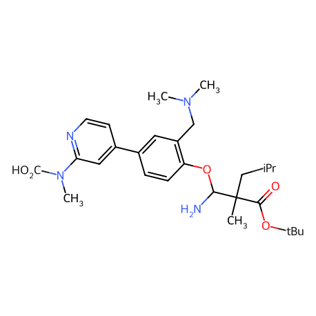 CC(C)CC(C)(C(=O)OC(C)(C)C)C(N)Oc1ccc(-c2ccnc(N(C)C(=O)O)c2)cc1CN(C)C